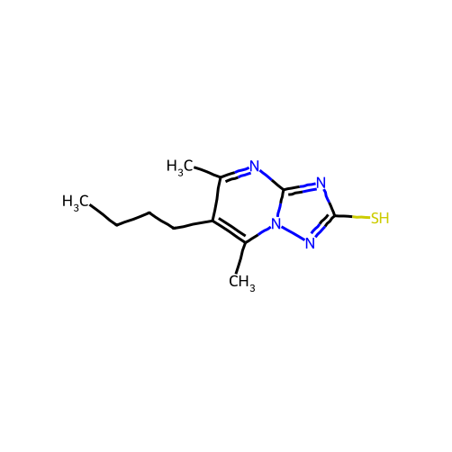 CCCCc1c(C)nc2nc(S)nn2c1C